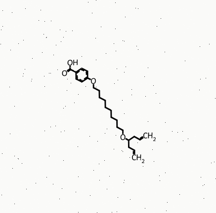 C=CCC(CC=C)OCCCCCCCCCCOc1ccc(C(=O)O)cc1